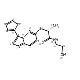 C[C@@H](Sc1ccc2nnc(-c3cccs3)n2n1)C(=O)NCCO